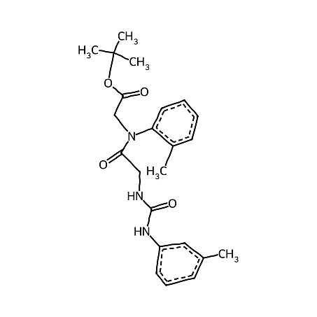 Cc1cccc(NC(=O)NCC(=O)N(CC(=O)OC(C)(C)C)c2ccccc2C)c1